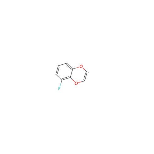 Fc1cccc2c1OC=[C]O2